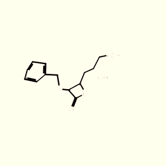 CCCCCCCCCCC[C@H](O)CC1OC(=O)C1SCc1ccccc1